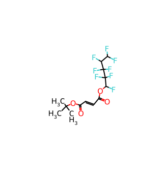 CC(C)(C)OC(=O)C=CC(=O)OC(F)C(F)(F)C(F)(F)C(F)C(F)F